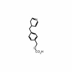 O=C(O)OCc1ccc(CC2C=CN=CC2)cc1